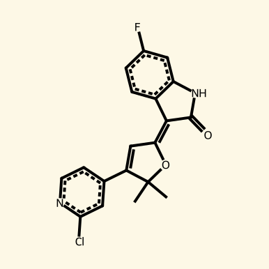 CC1(C)OC(=C2C(=O)Nc3cc(F)ccc32)C=C1c1ccnc(Cl)c1